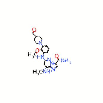 CNc1cc(Nc2cccc(N3CCC(C=O)CC3)c2OC)nn2c(C(N)=O)cnc12